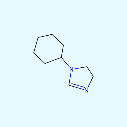 [C]1=NCCN1C1CCCCC1